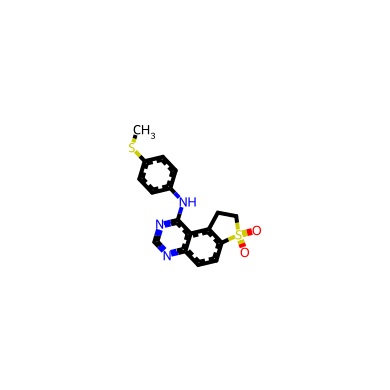 CSc1ccc(Nc2ncnc3ccc4c(c23)CCS4(=O)=O)cc1